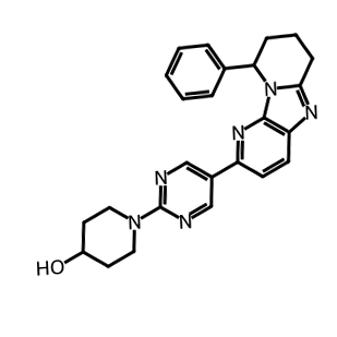 OC1CCN(c2ncc(-c3ccc4nc5n(c4n3)C(c3ccccc3)CCC5)cn2)CC1